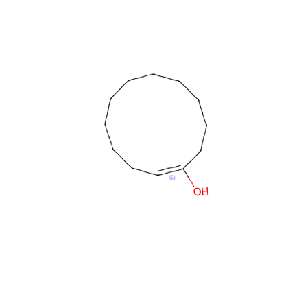 O/C1=C/CCCCCCCCCC1